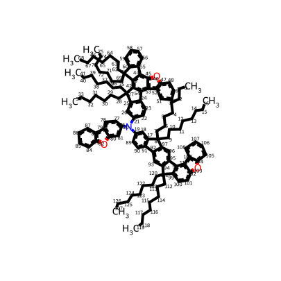 CCCCCCCCC1(CCCCCCCC)c2cc(N(c3ccc4c(c3)C(CCCCCCC)(CCCCCCC)c3c5c(c6oc7ccccc7c6c3-4)-c3ccccc3C5(CCCCCCC)CCCCCCC)c3ccc4c(c3)oc3ccccc34)ccc2-c2cc3c(cc21)-c1c(ccc2oc4ccccc4c12)C3(CCCCCCCC)CCCCCCCC